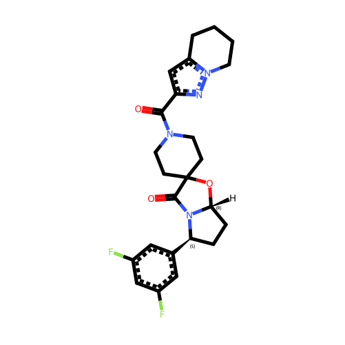 O=C(c1cc2n(n1)CCCC2)N1CCC2(CC1)O[C@@H]1CC[C@@H](c3cc(F)cc(F)c3)N1C2=O